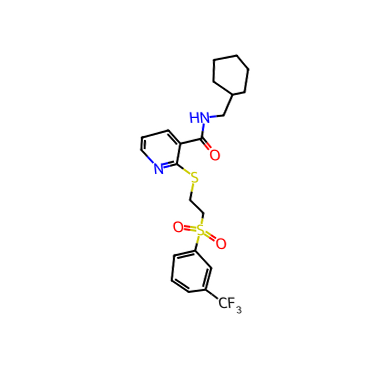 O=C(NCC1CCCCC1)c1cccnc1SCCS(=O)(=O)c1cccc(C(F)(F)F)c1